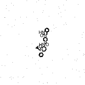 O=C(N[C@@H]1CCC[C@H](C2C=CC=CC2)N(CC2CC2)C1=O)N1CCC(N2Cc3ccccc3NC2=O)CC1